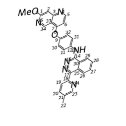 COc1cc2nccc(Oc3ccc(Nc4nnc(-c5ccc(C)cn5)c5ccccc45)cc3)c2cn1